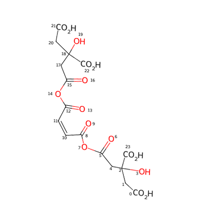 O=C(O)CC(O)(CC(=O)OC(=O)/C=C\C(=O)OC(=O)CC(O)(CC(=O)O)C(=O)O)C(=O)O